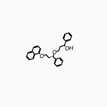 OC(CCO[C@H](CCOc1cccc2ccccc12)c1ccccc1)c1ccccc1